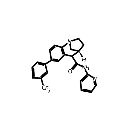 O=C(Nc1ccccn1)C1c2cc(-c3cccc(C(F)(F)F)c3)ccc2N2CC[C@H]1C2